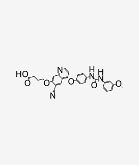 COc1cccc(NC(=O)Nc2ccc(Oc3ccnc4cc(OCCCC(=O)O)c(C#N)cc34)cc2)c1